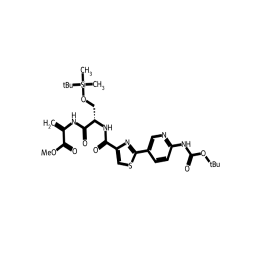 C=C(NC(=O)[C@H](CO[Si](C)(C)C(C)(C)C)NC(=O)c1csc(-c2ccc(NC(=O)OC(C)(C)C)nc2)n1)C(=O)OC